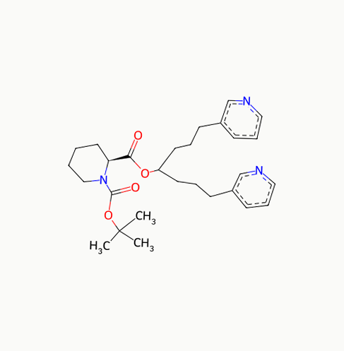 CC(C)(C)OC(=O)N1CCCC[C@H]1C(=O)OC(CCCc1cccnc1)CCCc1cccnc1